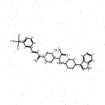 NC(=O)C(NC1CCC(c2c[nH]c3ccccc23)CC1)C1CCN(C(=O)C=Cc2cccc(C(F)(F)F)c2)CC1